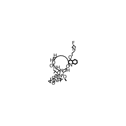 C=C[C@@H]1C[C@]1(NC(=O)[C@@H]1C[C@@H]2CN1C(=O)[C@H](C(C)(C)C)NC(=O)O[C@@H]1C[C@H]1CCCCCc1c(nc3ccccc3c1OCCCN1CC(F)C1)O2)C(=O)NS(=O)(=O)C1(C)CC1